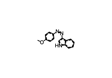 COc1ccc(/N=N\c2c[nH]c3ccccc23)cc1